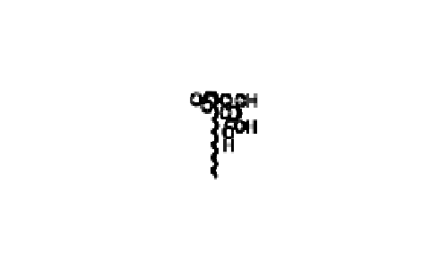 CCCCCCCCCCCc1oc(=O)ccc1O[C@@H]1O[C@H](CO)[C@@H](O)C[C@H]1O